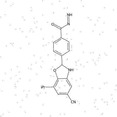 CC(C)c1cc(C#N)cc2c1OC(c1ccc(C(=O)N=N)cc1)N2